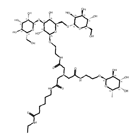 CCNC(=O)CCCCCNC(=O)CN(CC(=O)NCCO[C@@H]1O[C@@H](C)[C@@H](O)[C@@H](O)[C@@H]1O)CC(=O)NCCO[C@@H]1O[C@H](CO[C@H]2O[C@H](CO)[C@@H](O)[C@H](O)[C@@H]2O)[C@@H](O)[C@H](O[C@H]2O[C@H](CO)[C@@H](O)[C@H](O)[C@@H]2O)[C@H]1O